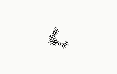 CC1(C)c2ccccc2-c2ccc(-c3ccc(N(c4ccc(-c5ccc(-c6cccc7c6oc6ccccc67)cc5)cc4)c4cccc5c4-c4ccccc4C5(C)C)c4ccccc34)cc21